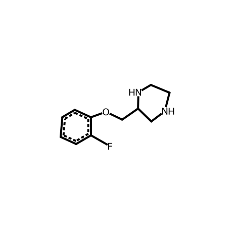 Fc1ccccc1OCC1CNCCN1